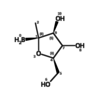 B[C@]1(C)O[C@H](CO)C(O)[C@@H]1O